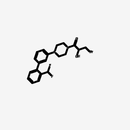 CC(C)CC(O)C(=O)N1CCN(c2cccc(-c3ccccc3C(F)F)c2)CC1